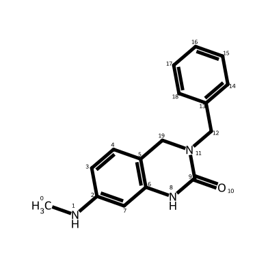 CNc1ccc2c(c1)NC(=O)N(Cc1ccccc1)C2